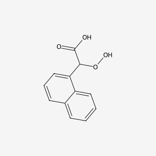 O=C(O)C(OO)c1cccc2ccccc12